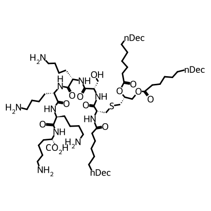 CCCCCCCCCCCCCCCC(=O)N[C@@H](CSC[C@@H](COC(=O)CCCCCCCCCCCCCCC)OC(=O)CCCCCCCCCCCCCCC)C(=O)N[C@@H](CO)C(=O)N[C@@H](CCCCN)C(=O)N[C@@H](CCCCN)C(=O)N[C@@H](CCCCN)C(=O)N[C@@H](CCCCN)C(=O)O